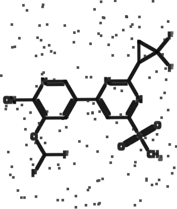 CS(=O)(=O)c1cc(-c2cnc(N=O)c(OC(F)F)c2)nc(C2CC2(F)F)n1